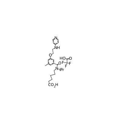 Cc1cc(OCCNc2ccncc2)cc(C(=O)N(CCCCCC(=O)O)C(C)C)c1.O=C(O)C(F)(F)F